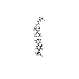 CCCCCC1OCC(C2CCC(C3CCC(c4ccc(OCC)c(F)c4F)CO3)CC2)CO1